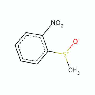 C[S+]([O-])c1ccccc1[N+](=O)[O-]